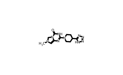 CN1C=C2N=C(N3CCC(c4nnn[nH]4)CC3)NC(=O)N2C1